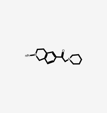 CCCN1CCc2cc(C(=O)CN3CCCCC3)ccc2C1